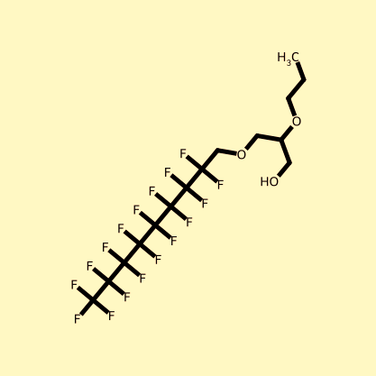 CCCOC(CO)COCC(F)(F)C(F)(F)C(F)(F)C(F)(F)C(F)(F)C(F)(F)C(F)(F)C(F)(F)F